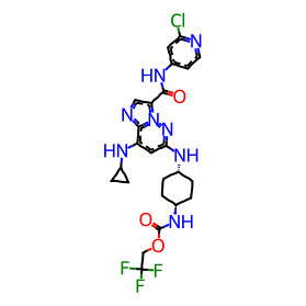 O=C(N[C@H]1CC[C@H](Nc2cc(NC3CC3)c3ncc(C(=O)Nc4ccnc(Cl)c4)n3n2)CC1)OCC(F)(F)F